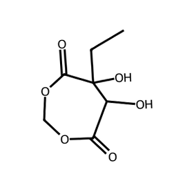 CCC1(O)C(=O)OCOC(=O)C1O